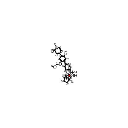 COCOc1cc(-c2ccn(C)c(=O)c2)c(F)cc1-c1ccc(N(C)C2C[C@]3(C)CC[C@](C)(C2)N3C(=O)O)nn1